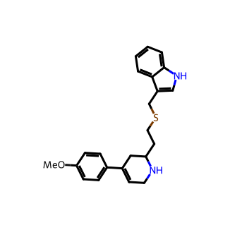 COc1ccc(C2=CCNC(CCSCc3c[nH]c4ccccc34)C2)cc1